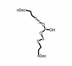 CCCCCCCCCCCCSSOP(O)OSSCCCCCCCCCCCC